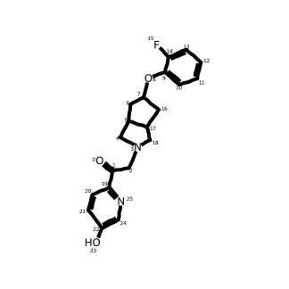 O=C(CN1CC2CC(Oc3ccccc3F)CC2C1)c1ccc(O)cn1